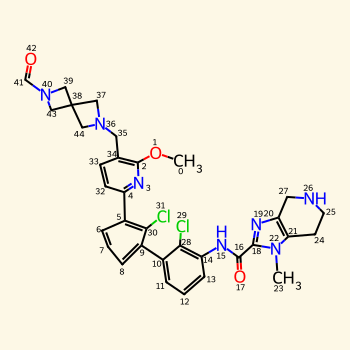 COc1nc(-c2cccc(-c3cccc(NC(=O)c4nc5c(n4C)CCNC5)c3Cl)c2Cl)ccc1CN1CC2(CN(C=O)C2)C1